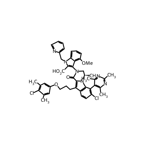 COc1cccc2c1c(N1C[C@@H](C)n3c(c(CCCOc4cc(C)c(Cl)c(C)c4)c4ccc(Cl)c(-c5c(C)nc(C)nc5C)c43)C1=O)c(C(=O)O)n2Cc1ccccn1